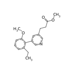 CCc1cccc(OC)c1-c1cncc(CCC(=O)OC)c1